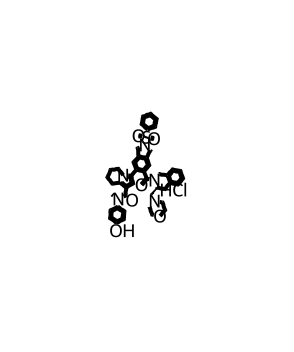 CN(C(=O)c1cc(-c2cc3c(cc2C(=O)N2Cc4ccccc4C[C@H]2CN2CCOCC2)CN(S(=O)(=O)c2ccccc2)C3)n2c1CCCC2)c1ccc(O)cc1.Cl